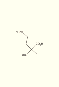 CCCCCCCCC(C)(CCCC)C(=O)O